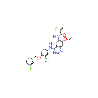 C=C(F)C(=O)Nc1cc2c(Nc3ccc(OCc4cccc(F)c4)c(Cl)c3)ncnc2cc1OCC